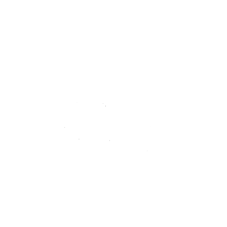 CC(C)(CO[Si](C)(C)C(C)(C)C)n1cc(I)c2cncc(F)c21